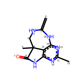 C=C1NCC2(C)C(=O)Nc3nc(C)nc(c32)N1